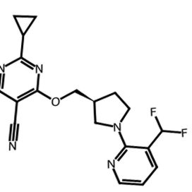 N#Cc1cnc(C2CC2)nc1OC[C@H]1CCN(c2ncccc2C(F)F)C1